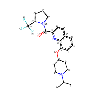 CC(C)N1CCC(Oc2cccc3ccc(C(=O)N4CCCC4C(F)(F)F)nc23)CC1